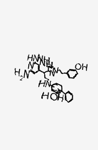 Nc1cc(C(CCNC23CCC(c4ccccc4)(CC2)[C@H](O)C3)c2ccn(CCc3cccc(O)c3)n2)c2c(n1)NNN2